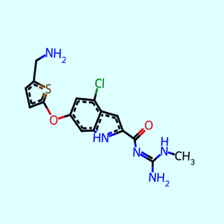 CNC(N)=NC(=O)c1cc2c(Cl)cc(Oc3ccc(CN)s3)cc2[nH]1